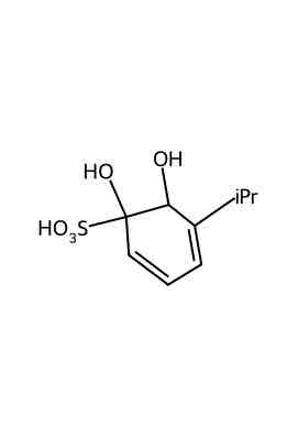 CC(C)C1=CC=CC(O)(S(=O)(=O)O)C1O